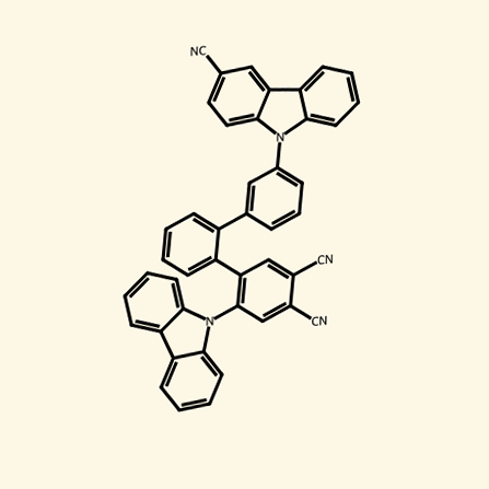 N#Cc1ccc2c(c1)c1ccccc1n2-c1cccc(-c2ccccc2-c2cc(C#N)c(C#N)cc2-n2c3ccccc3c3ccccc32)c1